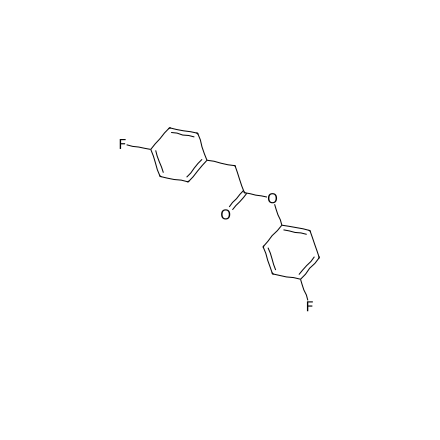 O=C(Cc1ccc(F)cc1)Oc1ccc(F)cc1